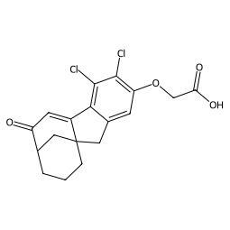 O=C(O)COc1cc2c(c(Cl)c1Cl)C1=CC(=O)C3CCCC1(C2)C3